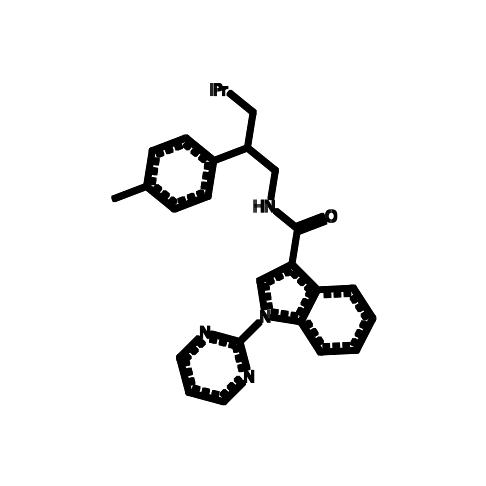 Cc1ccc(C(CNC(=O)c2cn(-c3ncccn3)c3ccccc23)CC(C)C)cc1